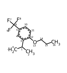 [CH2]C(C)c1cc(C(F)(F)F)ccc1OCCC